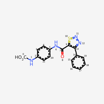 O=C(O)Nc1ccc(NC(=O)c2snnc2-c2ccccc2)cc1